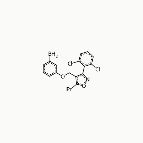 Bc1cccc(OCc2c(-c3c(Cl)cccc3Cl)noc2C(C)C)c1